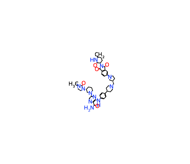 C=C1CCC(N2C(=O)c3ccc(N4CC[C@@H](CN5CCC(c6ccc(Nc7nc(N8CCC[C@@H](N9CCN(C)C9=O)C8)cnc7C(N)=O)cc6)CC5)C4)cc3C2=O)C(=O)N1